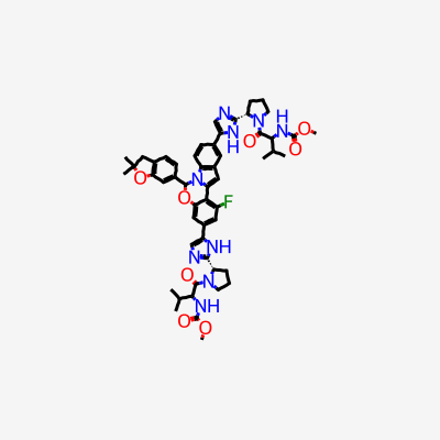 COC(=O)NC(C(=O)N1CCC[C@H]1c1ncc(-c2cc(F)c3c(c2)OC(c2ccc4c(c2)OC(C)(C)C4)n2c-3cc3cc(-c4cnc([C@@H]5CCCN5C(=O)C(NC(=O)OC)C(C)C)[nH]4)ccc32)[nH]1)C(C)C